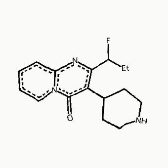 CCC(F)c1nc2ccccn2c(=O)c1C1CCNCC1